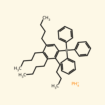 CCCCc1cc([B-](c2ccccc2)(c2ccccc2)c2ccccc2)c(CCCC)c(CCCC)c1CCCC.[PH4+]